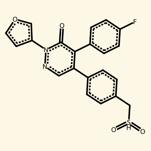 O=c1c(-c2ccc(F)cc2)c(-c2ccc(C[SH](=O)=O)cc2)cnn1-c1ccoc1